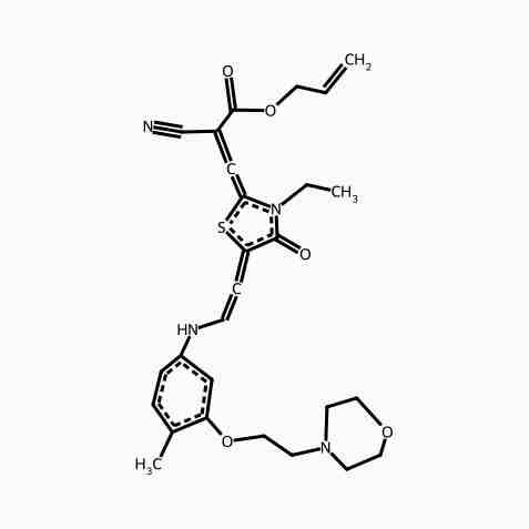 C=CCOC(=O)C(=C=c1sc(=C=CNc2ccc(C)c(OCCN3CCOCC3)c2)c(=O)n1CC)C#N